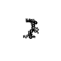 Cc1c(C)n(Cc2ccc(-c3ccccc3C(=O)NO[Si](C)(C)C(C)(C)C)cc2)c2ccc(C(=O)NC(C)c3cccc(C(C)C)c3)cc12